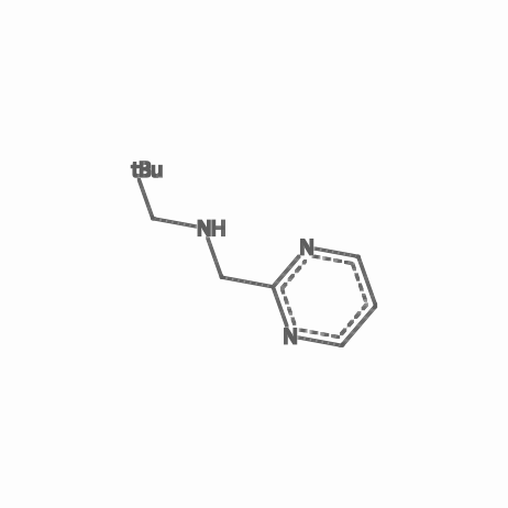 CC(C)(C)CNCc1ncccn1